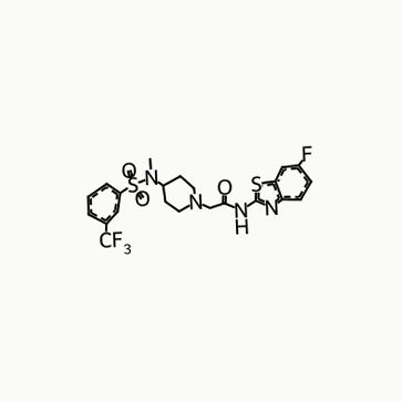 CN(C1CCN(CC(=O)Nc2nc3ccc(F)cc3s2)CC1)S(=O)(=O)c1cccc(C(F)(F)F)c1